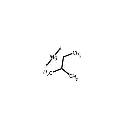 [CH2]C(C)CC.[I][Mg][I]